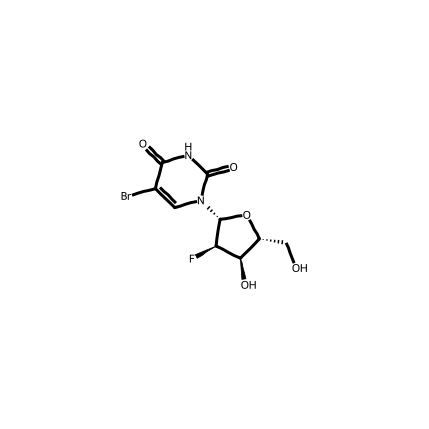 O=c1[nH]c(=O)n([C@@H]2O[C@H](CO)[C@@H](O)[C@H]2F)cc1Br